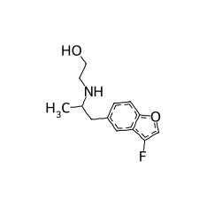 CC(Cc1ccc2occ(F)c2c1)NCCO